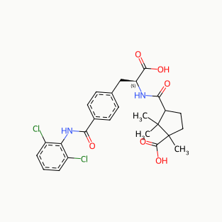 CC1(C(=O)O)CCC(C(=O)N[C@@H](Cc2ccc(C(=O)Nc3c(Cl)cccc3Cl)cc2)C(=O)O)C1(C)C